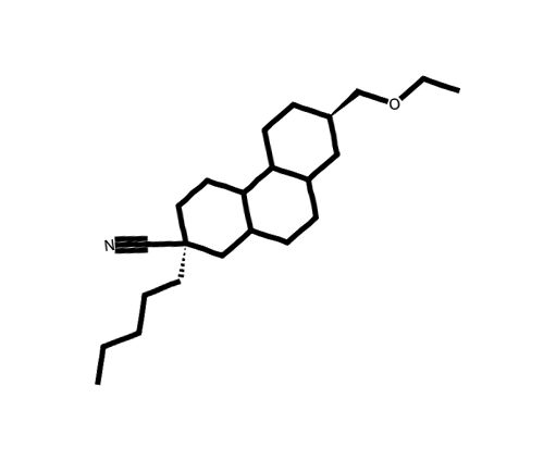 CCCCC[C@]1(C#N)CCC2C(CCC3C[C@H](COCC)CCC32)C1